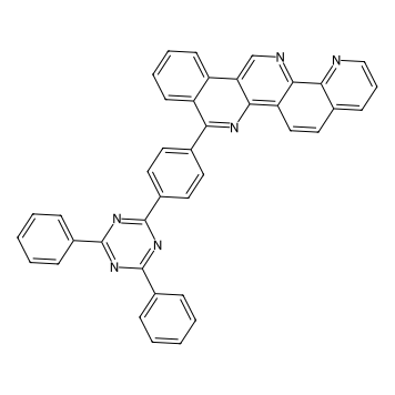 c1ccc(-c2nc(-c3ccccc3)nc(-c3ccc(-c4nc5c(cnc6c5ccc5cccnc56)c5ccccc45)cc3)n2)cc1